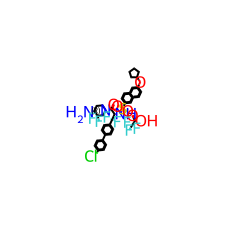 N[C@@H]1CCN(C(=O)C(NS(=O)(=O)c2ccc3cc(OC4CCCC4)ccc3c2)C(F)(F)c2ccc(-c3ccc(Cl)cc3)cc2)CC1(F)F.O=C(O)C(F)(F)F